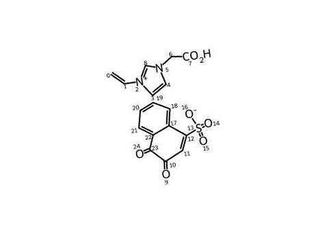 C=C[n+]1ccn(CC(=O)O)c1.O=C1C=C(S(=O)(=O)[O-])c2ccccc2C1=O